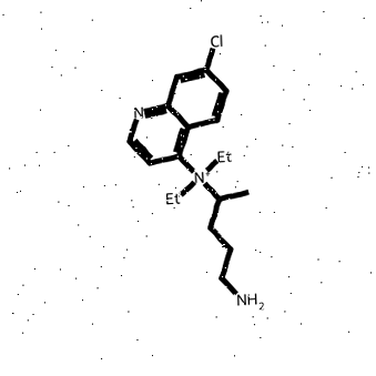 CC[N+](CC)(c1ccnc2cc(Cl)ccc12)C(C)CCCN